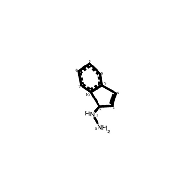 NNC1C=Cc2ccccc21